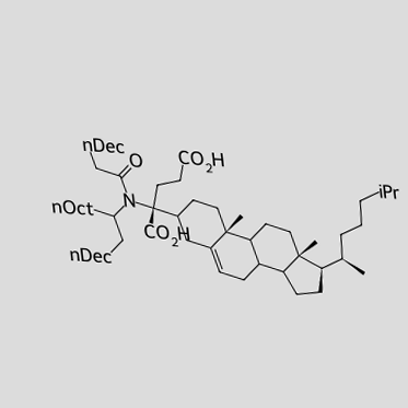 CCCCCCCCCCCC(=O)N(C(CCCCCCCC)CCCCCCCCCCC)[C@@](CCC(=O)O)(C(=O)O)C1CC[C@@]2(C)C(=CCC3C2CC[C@@]2(C)C3CC[C@@H]2[C@H](C)CCCC(C)C)C1